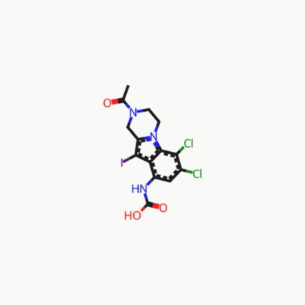 CC(=O)N1CCn2c(c(I)c3c(NC(=O)O)cc(Cl)c(Cl)c32)C1